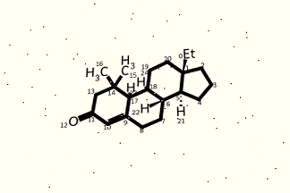 CC[C@@]12CCC[C@H]1[C@@H]1CCC3=CC(=O)CC(C)(C)[C@@H]3[C@H]1CC2